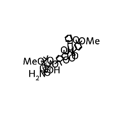 COc1ccc(C(=O)Nc2c(O)c3ccc(O[C@@H]4OC(C)(C)[C@H](OC)[C@@H](OC(N)=O)[C@H]4O)c(C)c3oc2=O)cc1Oc1ccccc1